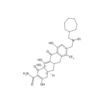 CCN(Cc1cc(O)c2c(c1C(F)(F)F)CC1C[C@H]3CC(O)=C(C(N)=O)C(=O)[C@@]3(O)C(O)=C1C2=O)CC1CCCCCC1